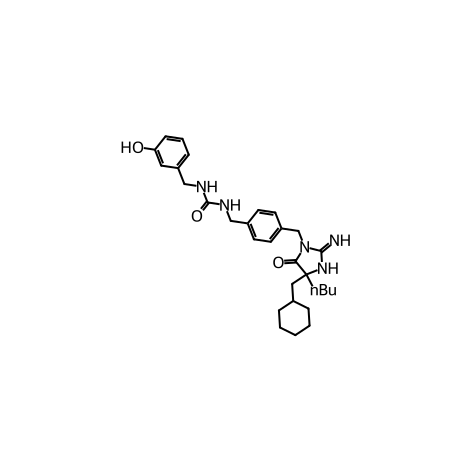 CCCCC1(CC2CCCCC2)NC(=N)N(Cc2ccc(CNC(=O)NCc3cccc(O)c3)cc2)C1=O